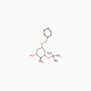 C=C1C(O)CC(OCc2ccccc2)CC1O[Si](C)(C)C(C)(C)C